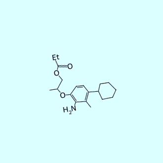 CCC(=O)OCC(C)Oc1ccc(C2CCCCC2)c(C)c1N